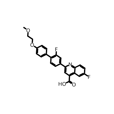 COCCOc1ccc(-c2ccc(-c3cc(C(=O)O)c4cc(F)ccc4n3)cc2F)cc1